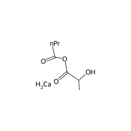 CCCC(=O)OC(=O)C(C)O.[CaH2]